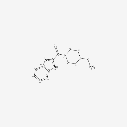 NCC1CCN(C(=O)c2cc3ccccc3[nH]2)CC1